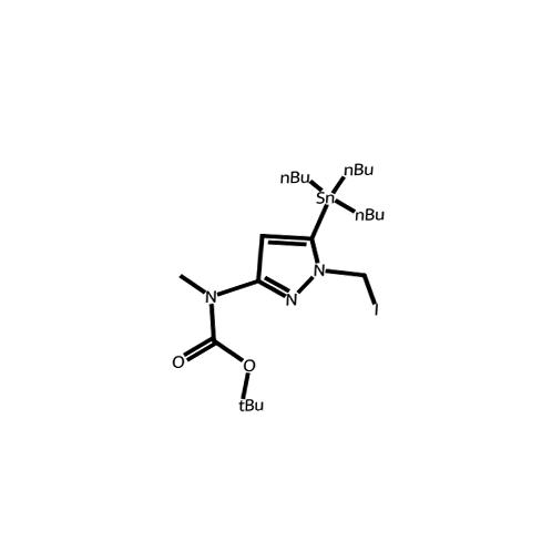 CCC[CH2][Sn]([CH2]CCC)([CH2]CCC)[c]1cc(N(C)C(=O)OC(C)(C)C)nn1CI